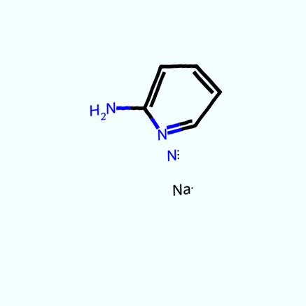 Nc1ccccn1.[N].[Na]